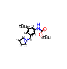 CC(C)(C)OC(=O)Nc1cc(CN2CCCC2)cc(C(C)(C)C)c1